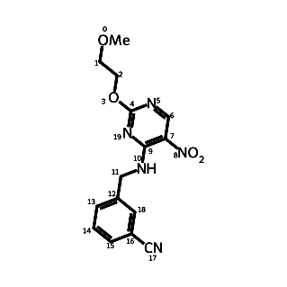 COCCOc1ncc([N+](=O)[O-])c(NCc2cccc(C#N)c2)n1